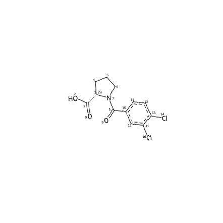 O=C(O)[C@@H]1CCCN1C(=O)c1ccc(Cl)c(Cl)c1